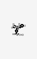 CN(CC=O)C(=N)c1ccc(C(N2CCNC(=O)C2)S(=O)(=O)c2cc3cc(Cl)ccc3[nH]2)cc1